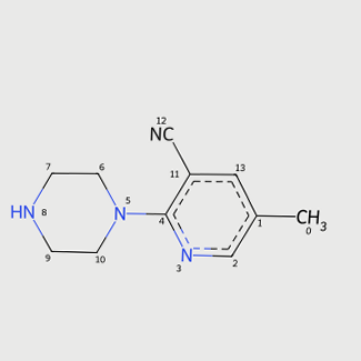 Cc1cnc(N2CCNCC2)c(C#N)c1